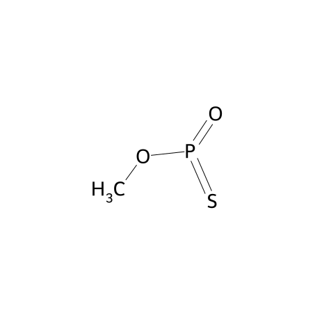 COP(=O)=S